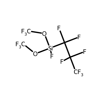 FC(F)(F)O[Si](F)(OC(F)(F)F)C(F)(F)C(F)(F)C(F)(F)F